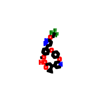 COc1ccc(-c2ccc(OCC(F)(F)F)nn2)c(O[C@H]2CC[C@H](Oc3cc(C(CC(=O)O)C4CC4)ccn3)CC2)c1